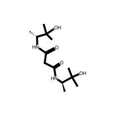 C[C@@H](NC(=O)CC(=O)N[C@H](C)C(C)(C)O)C(C)(C)O